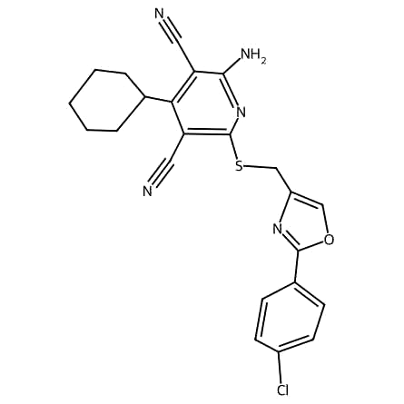 N#Cc1c(N)nc(SCc2coc(-c3ccc(Cl)cc3)n2)c(C#N)c1C1CCCCC1